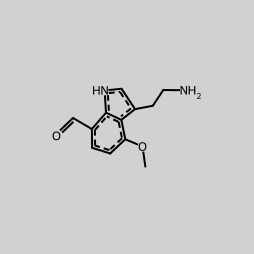 COc1ccc(C=O)c2[nH]cc(CCN)c12